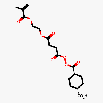 C=C(C)C(=O)OCCOC(=O)CCC(=O)OOC(=O)[C@H]1CC[C@H](C(=O)O)CC1